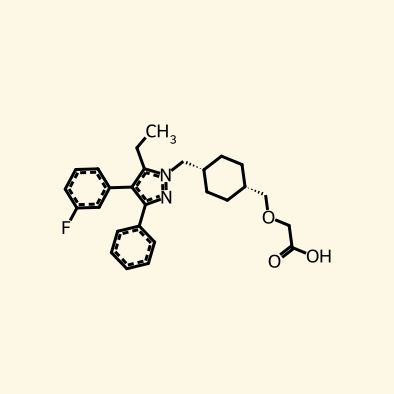 CCc1c(-c2cccc(F)c2)c(-c2ccccc2)nn1C[C@H]1CC[C@@H](COCC(=O)O)CC1